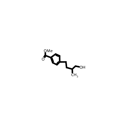 COC(=O)c1ccc(CCC(C)CO)cc1